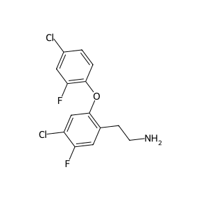 NCCc1cc(F)c(Cl)cc1Oc1ccc(Cl)cc1F